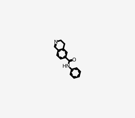 O=C(Nc1ccccc1)c1ccc2c(c1)CCN=C2